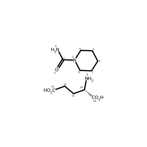 NC(=O)N1CCCCC1.N[C@@H](CCC(=O)O)C(=O)O